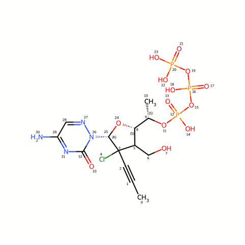 CC#CC1(Cl)C(CO)[C@@H]([C@H](C)OP(=O)(O)OP(=O)(O)OP(=O)(O)O)O[C@H]1n1ncc(N)nc1=O